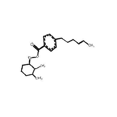 CCCCCCc1ccc(C(=O)OO[C]2CCCC(C)C2C)cc1